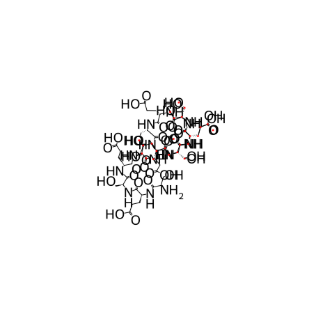 N[C@@H](CO)C(=O)N[C@@H](CCC(=O)O)C(=O)N[C@@H](CO)C(=O)N[C@@H](CCC(=O)O)C(=O)N[C@@H](CO)C(=O)N[C@@H](CCC(=O)O)C(=O)N[C@@H](CO)C(=O)N[C@@H](CCC(=O)O)C(=O)N[C@@H](CO)C(=O)N[C@@H](CCC(=O)O)C(=O)N[C@@H](CO)C(=O)N[C@@H](CCC(=O)O)C(=O)N[C@@H](CO)C(=O)N[C@@H](CCC(=O)O)C(=O)N[C@@H](CO)C(=O)O